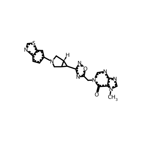 Cn1cnc2ncn(Cc3nc(C4C5CN(c6ccc7ncsc7c6)C[C@@H]54)no3)c(=O)c21